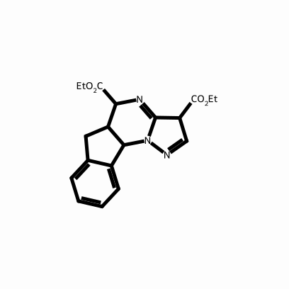 CCOC(=O)C1C=NN2C1=NC(C(=O)OCC)C1Cc3ccccc3C12